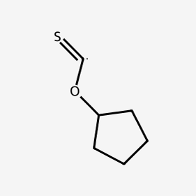 S=[C]OC1CCCC1